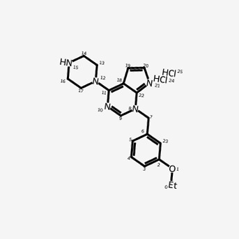 CCOc1cccc(Cn2cnc(N3CCNCC3)c3ccnc2-3)c1.Cl.Cl